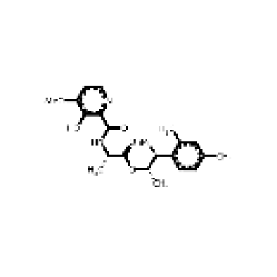 COc1ccnc(C(=O)N[C@@H](C)C(=O)O[C@@H](C)[C@H](c2ccc(C)cc2C)C(C)C)c1O